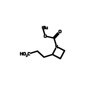 CC(C)(C)OC(=O)N1CCC1CCC(=O)O